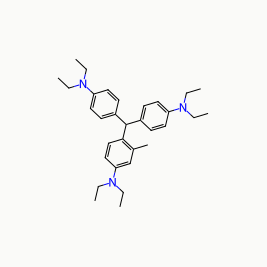 CCN(CC)c1ccc(C(c2ccc(N(CC)CC)cc2)c2ccc(N(CC)CC)cc2C)cc1